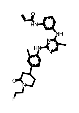 C=CC(=O)Nc1cccc(Nc2nc(Nc3ccc(C4CCN(CCF)C(=O)C4)cc3C)ncc2C)c1